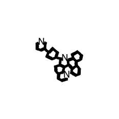 c1cncc(-c2ccc(-c3nc4c5ccccc5c5ccccc5c4c4c3ccc3cccnc34)cc2)c1